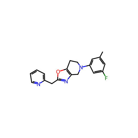 Cc1cc(F)cc(N2CCc3oc(Cc4ccccn4)nc3C2)c1